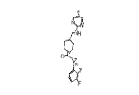 O=C(C1C[C@H]1c1cccc(F)c1F)N1CCC(CNc2ncc(F)cn2)CC1